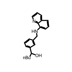 CCCCC(O)c1cccc(CNc2cccc3cccnc23)c1